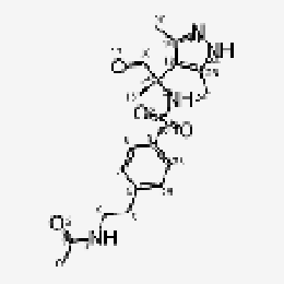 CC(=O)NCCc1ccc(S(=O)(=O)N[C@](C)(C=O)c2c(C)n[nH]c2C)cc1